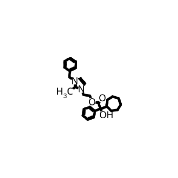 Cc1n(CCOC(=O)C(O)(c2ccccc2)C2CCCCCC2)cc[n+]1Cc1ccccc1